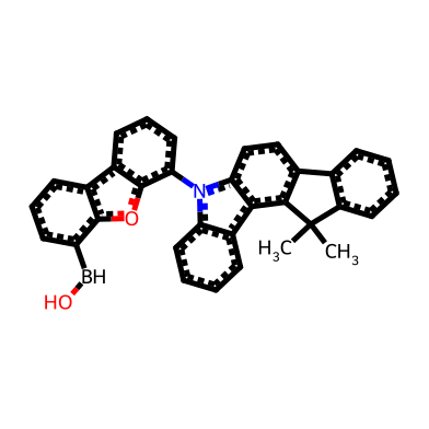 CC1(C)c2ccccc2-c2ccc3c(c21)c1ccccc1n3-c1cccc2c1oc1c(BO)cccc12